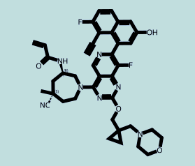 C#Cc1c(F)ccc2cc(O)cc(-c3ncc4c(N5CC[C@](C)(C#N)C[C@@H](NC(=O)C=C)C5)nc(OCC5(CN6CCOCC6)CC5)nc4c3F)c12